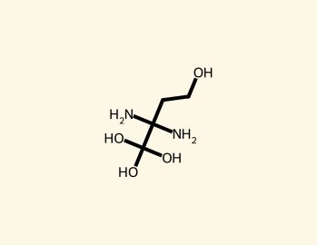 NC(N)(CCO)C(O)(O)O